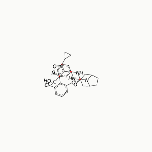 O=C(O)c1cccc(NC(=O)N2C3CCC2CC(NCc2c(-c4c(Cl)cccc4Cl)noc2C2CC2)C3)c1